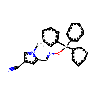 Cn1cc(C#N)cc1C=NO[Si](c1ccccc1)(c1ccccc1)c1ccccc1